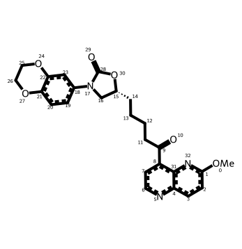 COc1ccc2nccc(C(=O)CCCC[C@@H]3CN(c4ccc5c(c4)OCCO5)C(=O)O3)c2n1